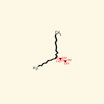 CCCCCCCC/C=C\CCCCCCCC.O=C(O)O.O=C(O)O